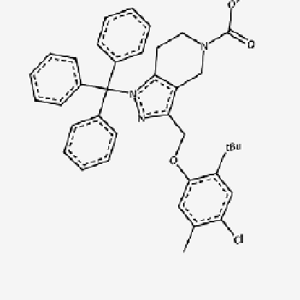 Cc1cc(OCc2nn(C(c3ccccc3)(c3ccccc3)c3ccccc3)c3c2CN(C(=O)OC(C)(C)C)CC3)c(C(C)(C)C)cc1Cl